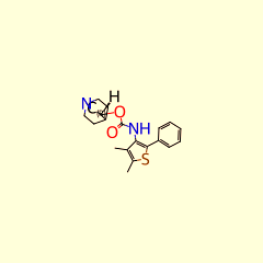 Cc1sc(-c2ccccc2)c(NC(=O)O[C@H]2CN3CCC2CC3)c1C